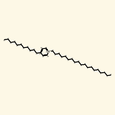 CCCCCCCCCCCCCCCCCCC[n+]1ccc(CCCCCCCCCCC)cc1